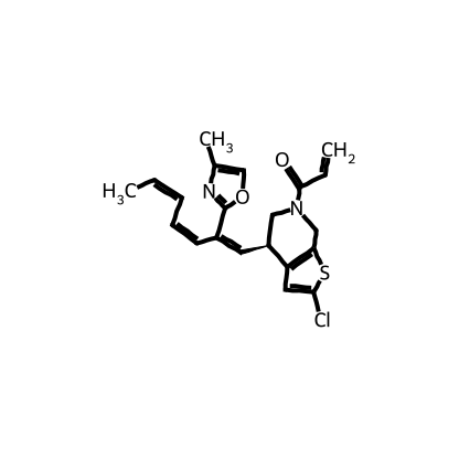 C=CC(=O)N1Cc2sc(Cl)cc2[C@@H](/C=C(/C=C\C=C/C)c2nc(C)co2)C1